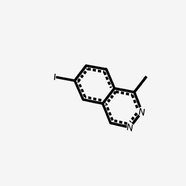 Cc1nncc2cc(I)ccc12